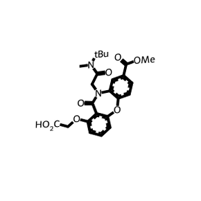 COC(=O)c1ccc2c(c1)N(CC(=O)N(C)C(C)(C)C)C(=O)c1c(OCC(=O)O)cccc1O2